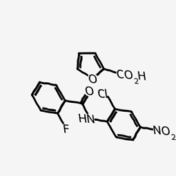 O=C(Nc1ccc([N+](=O)[O-])cc1Cl)c1ccccc1F.O=C(O)c1ccco1